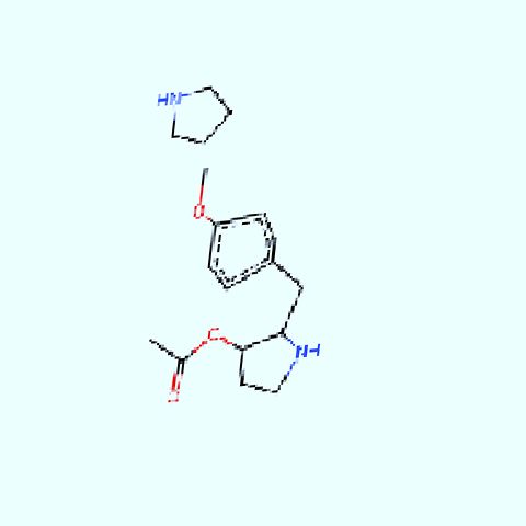 C1CCNC1.COc1ccc(CC2NCCC2OC(C)=O)cc1